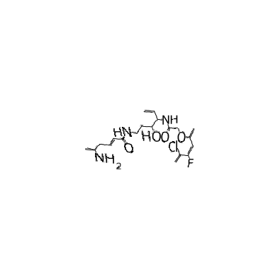 C=CC(NC(=O)COC(=C)/C=C(/F)C(=C)Cl)C(O)CCNC(=O)/C=C/CC(=C)N